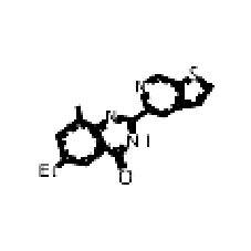 CCc1cc(C)c2nc(-c3cc4ccsc4cn3)[nH]c(=O)c2c1